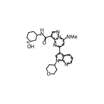 CNc1cc(-c2cn(C3CCOCC3)c3ncccc23)nc2c(C(=O)NC3CCC[C@@H](O)C3)cnn12